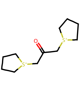 O=C(C[S+]1CCCC1)C[S+]1CCCC1